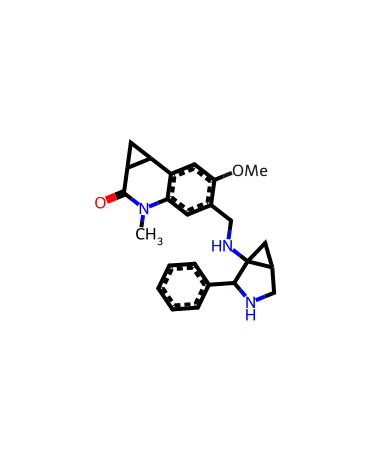 COc1cc2c(cc1CNC13CC1CNC3c1ccccc1)N(C)C(=O)C1CC21